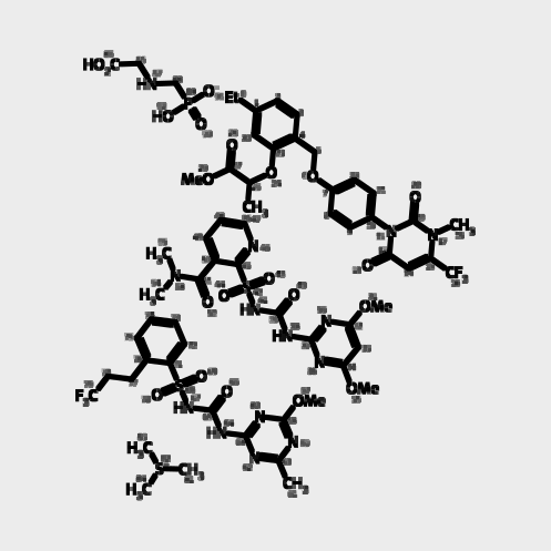 CCc1ccc(COc2ccc(-n3c(=O)cc(C(F)(F)F)n(C)c3=O)cc2)c(OC(C)C(=O)OC)c1.COc1cc(OC)nc(NC(=O)NS(=O)(=O)c2ncccc2C(=O)N(C)C)n1.COc1nc(C)nc(NC(=O)NS(=O)(=O)c2ccccc2CCC(F)(F)F)n1.C[S+](C)C.O=C(O)CNCP(=O)([O-])O